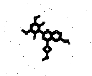 COc1cc(OC)c(F)c(-c2nc(N3CC(OC)C3)c3cc(N)ncc3n2)c1F